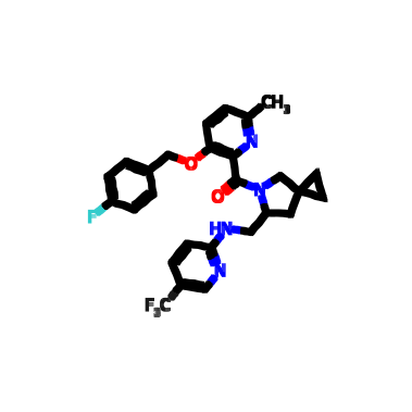 Cc1ccc(OCc2ccc(F)cc2)c(C(=O)N2CC3(CC3)CC2CNc2ccc(C(F)(F)F)cn2)n1